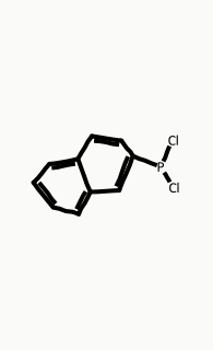 ClP(Cl)c1ccc2ccccc2c1